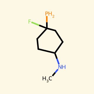 CNC1CCC(F)(P)CC1